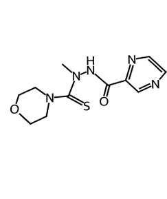 CN(NC(=O)c1cnccn1)C(=S)N1CCOCC1